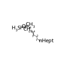 CCCCCCCCCC=CCCC(C)(C)O[SiH3]